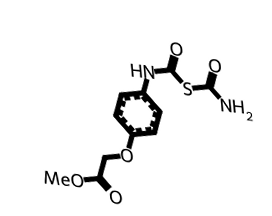 COC(=O)COc1ccc(NC(=O)SC(N)=O)cc1